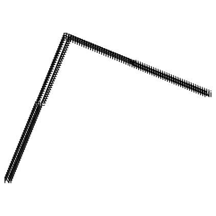 [Fe].[Fe].[Fe].[Fe].[Fe].[Fe].[Fe].[Fe].[Fe].[Fe].[Fe].[Fe].[Fe].[Fe].[Fe].[Fe].[Fe].[Fe].[Fe].[Fe].[Fe].[Fe].[Fe].[Fe].[Fe].[Fe].[Fe].[Fe].[Fe].[Fe].[Fe].[Fe].[Fe].[Fe].[Fe].[Fe].[Fe].[Fe].[Fe].[Fe].[Fe].[Fe].[Fe].[Fe].[Fe].[Fe].[Fe].[Fe].[Fe].[Fe].[Fe].[Fe].[Fe].[Fe].[Fe].[Fe].[Fe].[Fe].[Fe].[Fe].[Ni].[Ni].[Ni].[Ni].[Ni].[Ni].[Ni].[Ni].[Ni].[Ni].[Ni].[Ni].[Ni].[Ni].[Ni].[Ni].[Ni].[Ni].[Ni].[Ni].[Ni].[Ni].[Ni].[Ni].[Ni].[Ni].[Ni].[Ni].[Ni].[Ni].[Ni].[Ni].[Ni].[Ni].[Ni].[Ni].[Ni].[Ni].[Ni].[Ni].[Ni].[Ni].[Ni].[Ni].[Ni].[Ni].[Ni].[Ni].[Ni].[Ni].[Ni].[Ni].[Ni].[Ni].[Ni].[Ni].[Ni].[Ni].[Ni].[Ni].[Ni].[Ni].[Ni].[Ni].[Ni].[Ni].[Ni].[Ni].[Ni].[Ni]